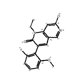 CCn1c(=O)c(-c2c(F)cccc2OC)cc2cnc(Cl)cc21